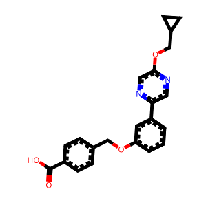 O=C(O)c1ccc(COc2cccc(-c3cnc(OCC4CC4)cn3)c2)cc1